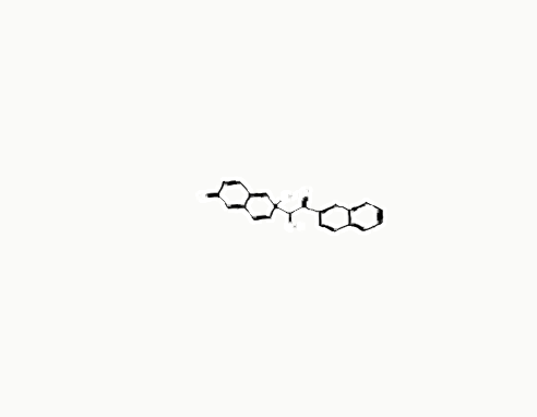 O=C1C=CC2=CC(O)(C(O)C(=O)c3ccc4ccccc4c3)C=CC2=C1